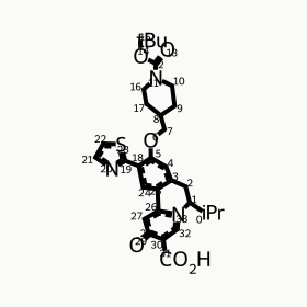 CC(C)C1Cc2cc(OCC3CCN(C(=O)OC(C)(C)C)CC3)c(-c3nccs3)cc2-c2cc(=O)c(C(=O)O)cn21